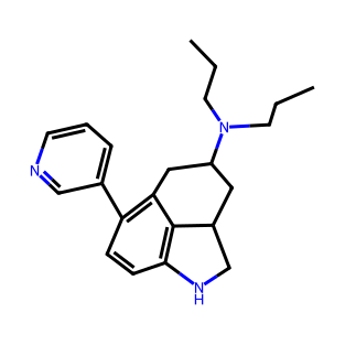 CCCN(CCC)C1Cc2c(-c3cccnc3)ccc3c2C(CN3)C1